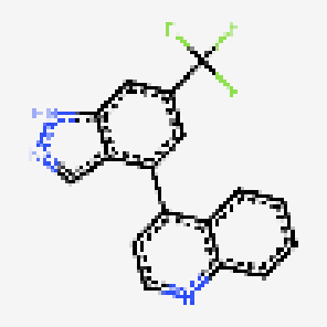 FC(F)(F)c1cc(-c2ccnc3ccccc23)c2cn[nH]c2c1